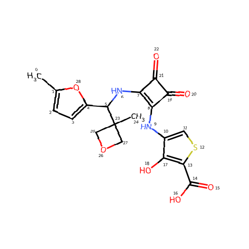 Cc1ccc(C(Nc2c(Nc3csc(C(=O)O)c3O)c(=O)c2=O)C2(C)COC2)o1